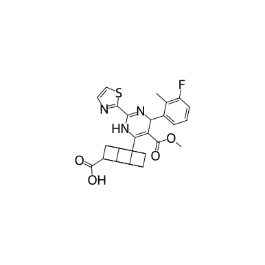 COC(=O)C1=C(C23C4C5C2C2C3C4C52C(=O)O)NC(c2nccs2)=NC1c1cccc(F)c1C